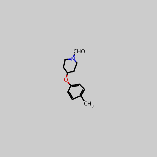 Cc1ccc(OC2CCN(C=O)CC2)cc1